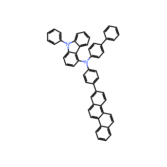 c1ccc(-c2ccc(N(c3ccc(-c4ccc5c(ccc6c7ccccc7ccc56)c4)cc3)c3cccc4c3c3ccccc3n4-c3ccccc3)cc2)cc1